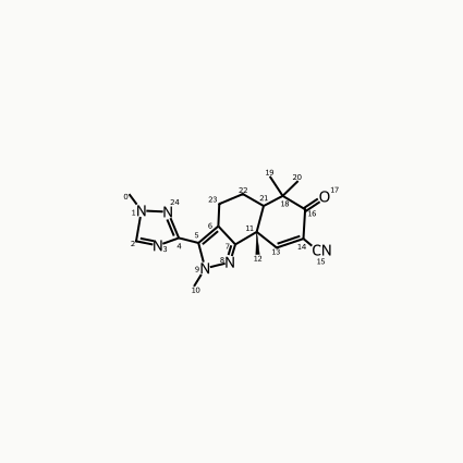 Cn1cnc(-c2c3c(nn2C)[C@@]2(C)C=C(C#N)C(=O)C(C)(C)C2CC3)n1